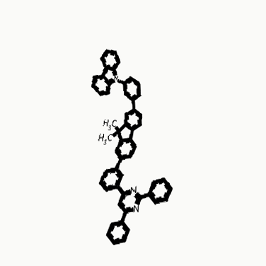 CC1(C)c2cc(-c3cccc(-c4cc(-c5ccccc5)nc(-c5ccccc5)n4)c3)ccc2-c2ccc(-c3cccc(-n4c5ccccc5c5ccccc54)c3)cc21